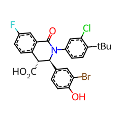 CC(C)(C)c1ccc(N2C(=O)c3cc(F)ccc3[C@@H](C(=O)O)[C@@H]2c2ccc(O)c(Br)c2)cc1Cl